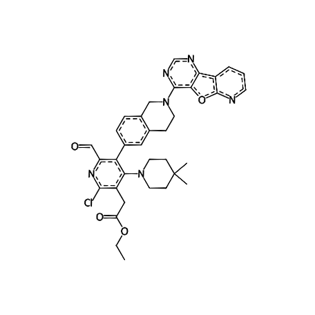 CCOC(=O)Cc1c(Cl)nc(C=O)c(-c2ccc3c(c2)CCN(c2ncnc4c2oc2ncccc24)C3)c1N1CCC(C)(C)CC1